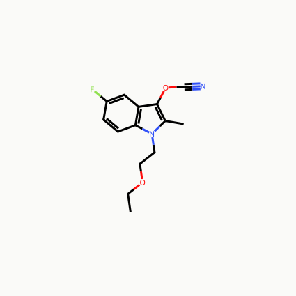 CCOCCn1c(C)c(OC#N)c2cc(F)ccc21